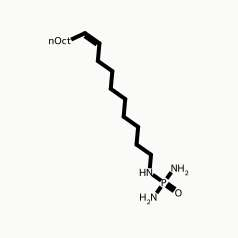 CCCCCCCC/C=C\CCCCCCCCNP(N)(N)=O